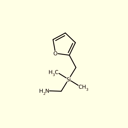 C[Si](C)(CN)Cc1ccco1